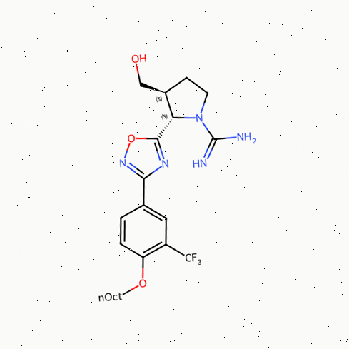 CCCCCCCCOc1ccc(-c2noc([C@@H]3[C@@H](CO)CCN3C(=N)N)n2)cc1C(F)(F)F